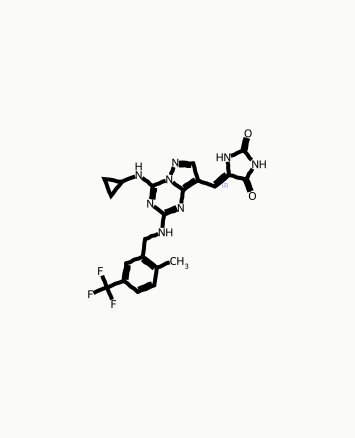 Cc1ccc(C(F)(F)F)cc1CNc1nc(NC2CC2)n2ncc(/C=C3\NC(=O)NC3=O)c2n1